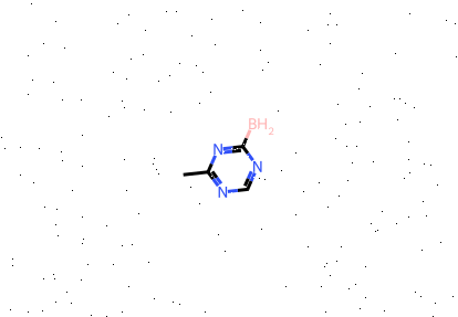 Bc1ncnc(C)n1